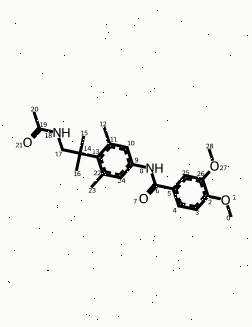 COc1ccc(C(=O)Nc2cc(C)c(C(C)(C)CNC(C)=O)c(C)c2)cc1OC